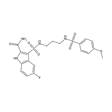 COc1ccc(S(=O)(=O)NCCCNS(=O)(=O)c2c(C(N)=O)[nH]c3ccc(F)cc23)cc1